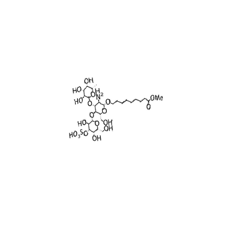 COC(=O)CCCCCCCCO[C@@H]1O[C@H](CO)[C@@H](O[C@@H]2O[C@H](CO)[C@H](O)[C@H](OS(=O)(=O)O)[C@H]2O)[C@H](O[C@@H]2O[C@@H](C)[C@@H](O)[C@@H](O)[C@@H]2O)[C@H]1N